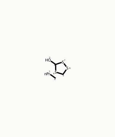 CCCC.OC1SCSS1